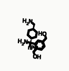 CCCC(N)(c1cc(CO)ccc1CO)[C@H]1CC[C@H](CN)CC1